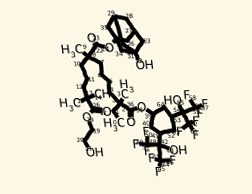 CCC(C)(CCCCC(C)(CCCC(C)(C)C(=O)OCCO)C(=O)OC12CC3CC(CC(O)(C3)C1)C2)C(=O)OC1CC(C(O)(C(F)(F)F)C(F)(F)F)CC(C(O)(C(F)(F)F)C(F)(F)F)C1